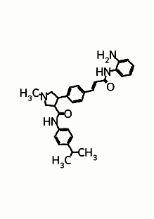 CC(C)c1ccc(NC(=O)C2CN(C)CC2c2ccc(/C=C/C(=O)Nc3ccccc3N)cc2)cc1